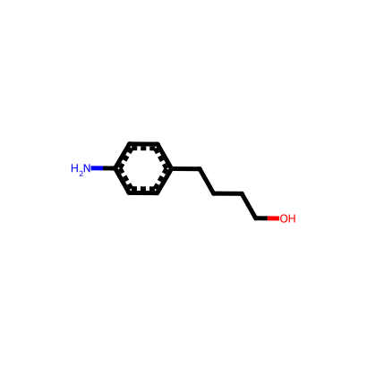 Nc1ccc(CCCCO)cc1